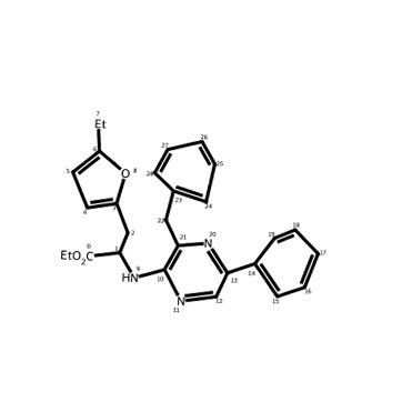 CCOC(=O)C(Cc1ccc(CC)o1)Nc1ncc(-c2ccccc2)nc1Cc1ccccc1